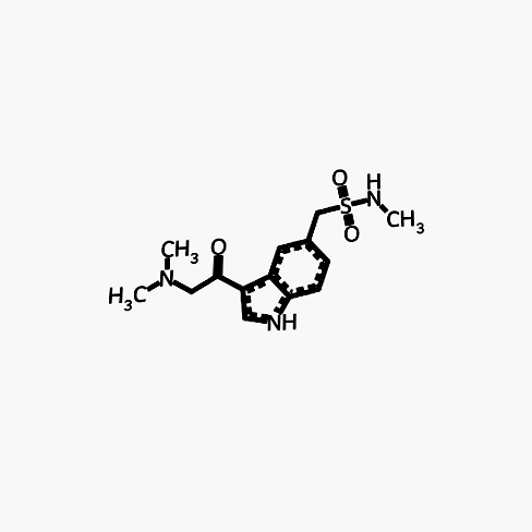 CNS(=O)(=O)Cc1ccc2[nH]cc(C(=O)CN(C)C)c2c1